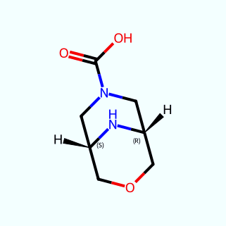 O=C(O)N1C[C@H]2COC[C@@H](C1)N2